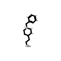 CC(C)(C)CCC1CCN(Cc2ccccc2)CC1